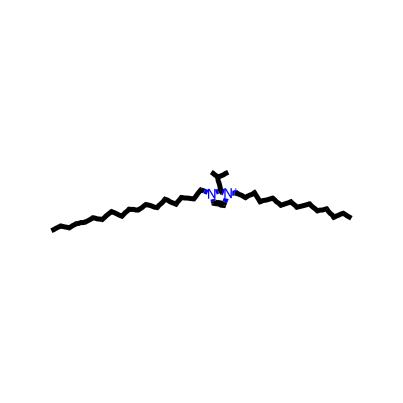 CCCCCCCCCCCCCCCCCCn1cc[n+](CCCCCCCCCCCCCC)c1C(C)C